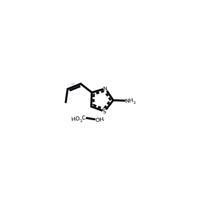 C/C=C\c1csc(N)n1.O=C(O)O